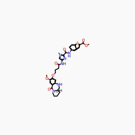 COC(=O)c1cc2cc(NC(=O)c3nc(NC(=O)CCCOc4cc5c(cc4OC)C(=O)N4CCCC[C@H]4CN5)cn3C)ccc2s1